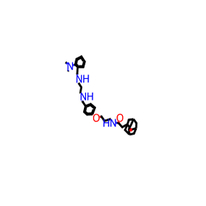 CN(C)c1ccccc1CNCCCNCc1ccc(OCCCNC(=O)CC23CC4CC(CC(C4)C2)C3)cc1